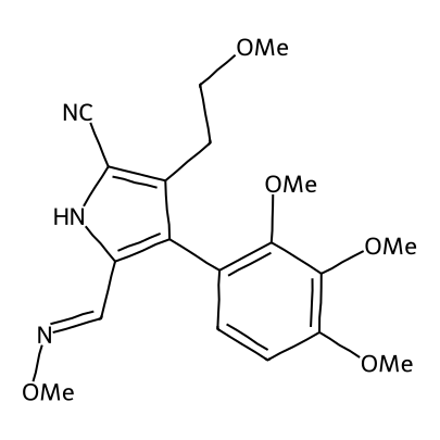 COCCc1c(C#N)[nH]c(/C=N/OC)c1-c1ccc(OC)c(OC)c1OC